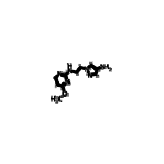 COc1ccnc(NCCn2cc(N)cn2)n1